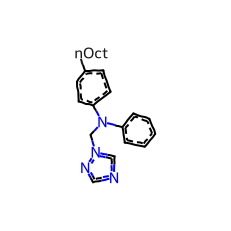 CCCCCCCCc1ccc(N(Cn2cncn2)c2ccccc2)cc1